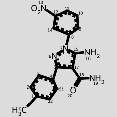 Cc1ccc(-c2nn(-c3cccc([N+](=O)[O-])c3)c(N)c2C(N)=O)cc1